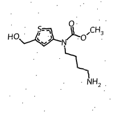 COC(=O)N(CCCCN)c1csc(CO)c1